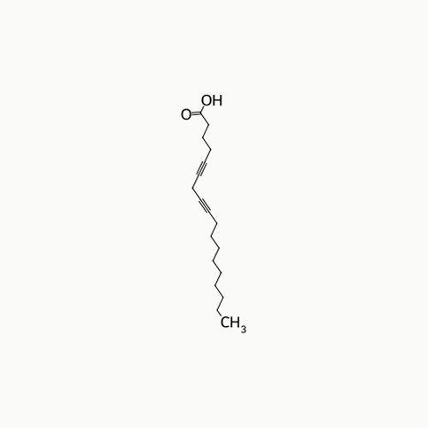 CCCCCCCCCC#CCC#CCCCC(=O)O